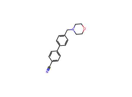 N#Cc1ccc(-c2ccc(CN3CCOCC3)cc2)cc1